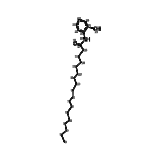 CCCCCCCCCCCCCCCCCC(=O)Nc1ccccc1O